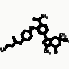 Cc1nn(-c2ccc(C(N)=O)c(NC3CCC(OC(=O)CCN)CC3)c2)c2c1C(=O)CC(C)(C)C2